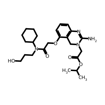 CC(C)OC(=O)CN1Cc2c(cccc2OCC(=O)N(CCCO)C2CCCCC2)N=C1N